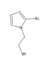 CC(=O)c1cccn1CCC(C)C